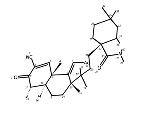 CC(=O)/C=C1/[C@@]2(C)C=C(C#N)C(=O)[C@@H](C)[C@@H]2CC[C@@]1(C)C(C)(C)CC[C@@]1(C(=O)N(C)C)CCC(C)(C)CC1C